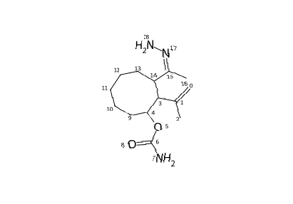 C=C(C)C1C(OC(N)=O)CCCCCC1/C(C)=N\N